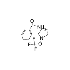 FC(F)(F)ON1CCCC1.NC(=O)c1ccccc1